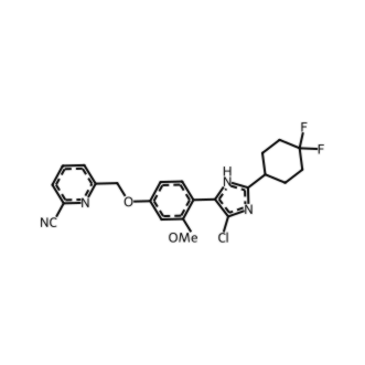 COc1cc(OCc2cccc(C#N)n2)ccc1-c1[nH]c(C2CCC(F)(F)CC2)nc1Cl